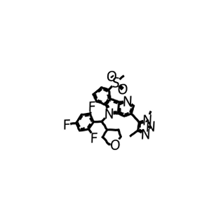 Cc1nnn(C)c1-c1cnc2c3c(S(C)(=O)=O)cccc3n(C(c3c(F)cc(F)cc3F)C3CCOCC3)c2c1